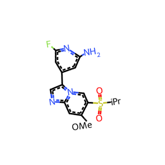 COc1cc2ncc(-c3cc(N)nc(F)c3)n2cc1S(=O)(=O)C(C)C